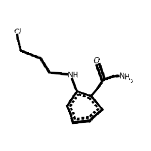 NC(=O)c1ccccc1NCCCCl